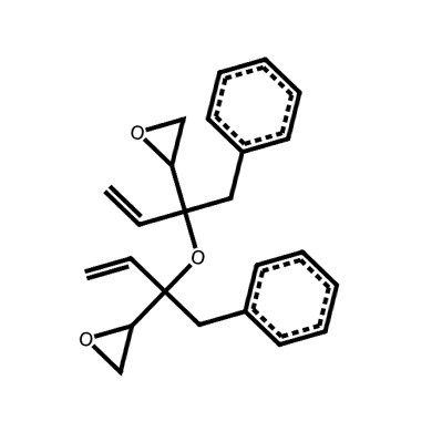 C=CC(Cc1ccccc1)(OC(C=C)(Cc1ccccc1)C1CO1)C1CO1